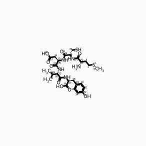 CSCC[C@H](N)C(=O)N[C@@H](CS)C(=O)N[C@H](CC(=O)O)C(=O)N[C@H](C(=O)N[C@@H](Cc1ccc(O)cc1)C(=O)O)C(C)C